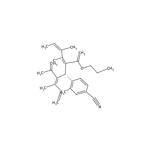 C=C/C(C)=C(/C(C)=O)[C@H](/C(C(=C)OCCC)=C(C)/C(C)=C\C)c1ccc(C#N)cc1C